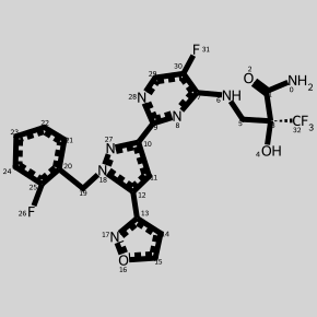 NC(=O)[C@@](O)(CNc1nc(-c2cc(-c3ccon3)n(Cc3ccccc3F)n2)ncc1F)C(F)(F)F